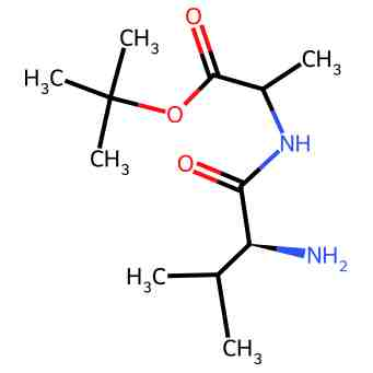 CC(NC(=O)[C@@H](N)C(C)C)C(=O)OC(C)(C)C